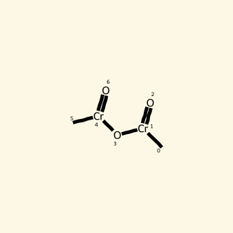 [CH3][Cr](=[O])[O][Cr]([CH3])=[O]